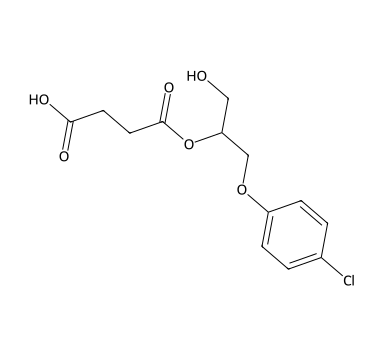 O=C(O)CCC(=O)OC(CO)COc1ccc(Cl)cc1